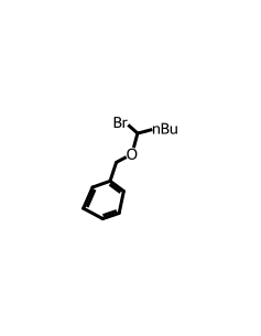 CCCCC(Br)OCc1ccccc1